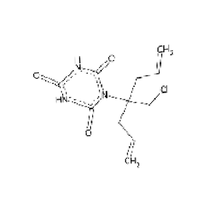 C=CCC(CCl)(CC=C)n1c(=O)[nH]c(=O)[nH]c1=O